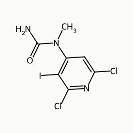 CN(C(N)=O)c1cc(Cl)nc(Cl)c1I